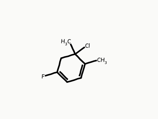 CC1=CC=C(F)CC1(C)Cl